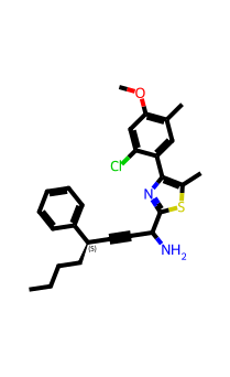 CCCC[C@H](C#CC(N)c1nc(-c2cc(C)c(OC)cc2Cl)c(C)s1)c1ccccc1